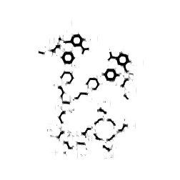 CCNC(=O)c1nnc(-c2cc(C(C)C)c(O)cc2O)n1-c1ccc(OC2CCN(C(=O)CCNC(=O)[C@@H](CCC(=O)N3CCC(Oc4ccc(-n5c(C(=O)NCC)nnc5-c5cc(C(C)C)c(O)cc5O)cc4)CC3)NC(=O)CCNC(=O)[C@@H](CO)NC(=O)[C@@H](CO)NC(=O)[C@@H](CO)NC(=O)CN3CCN(CC(=O)O)CCN(CC(=O)O)CCN(CC(=O)O)CC3)CC2)cc1